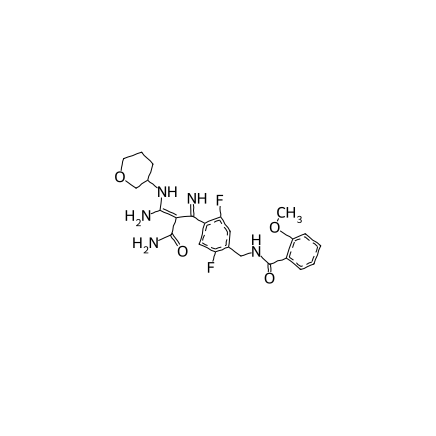 COc1ccccc1C(=O)NCc1cc(F)c(C(=N)/C(C(N)=O)=C(/N)NC2CCCOC2)cc1F